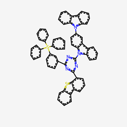 c1ccc(S(c2ccccc2)(c2ccccc2)c2cccc(-c3nc(-c4cccc5c4sc4ccccc45)nc(-n4c5ccccc5c5cc(-n6c7ccccc7c7ccccc76)ccc54)n3)c2)cc1